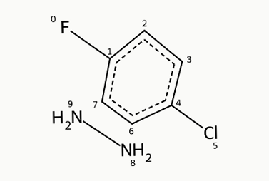 Fc1ccc(Cl)cc1.NN